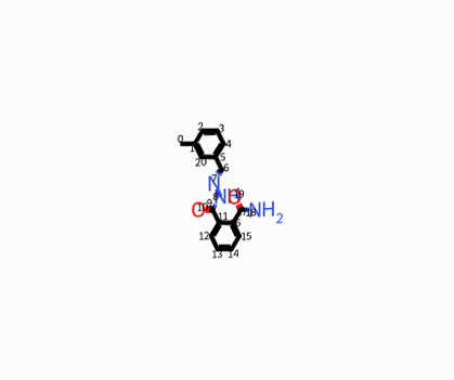 Cc1cccc(C=NNC(=O)c2ccccc2C(N)=O)c1